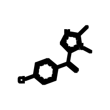 C=C(c1ccc(Cl)cc1)c1cnc(C)n1C